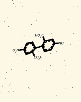 O=Nc1ccc(-c2ccc([N+](=O)[O-])cc2C(=O)O)c(C(=O)O)c1